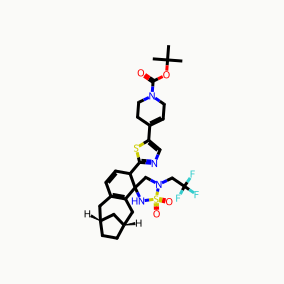 CC(C)(C)OC(=O)N1CC=C(c2cnc(C3C=CC4=C(C[C@@H]5CC[C@H](C4)C5)C34CN(CC(F)(F)F)S(=O)(=O)N4)s2)CC1